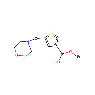 CC(C)OB(O)c1csc(CN2CCOCC2)c1